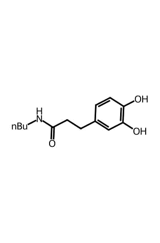 CCCCNC(=O)CCc1ccc(O)c(O)c1